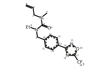 C=CCN(C)C(=O)N(CC)Cc1ccc(-c2noc(C(F)(F)F)n2)cc1